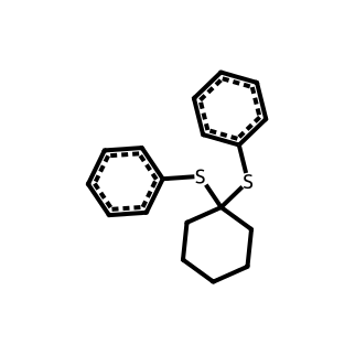 c1ccc(SC2(Sc3ccccc3)CCCCC2)cc1